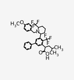 COc1ccc(CN2C(c3cc(-c4ccccc4)cc(C(CC(C)C)C(=O)O)c3C(F)(F)F)CCCC2C(F)(F)F)cc1